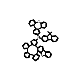 CC1(C)c2ccccc2-c2ccc(N(c3ccc4c(c3)-c3ccccc3Oc3ccccc3-4)c3ccc4c5ccccc5c5ccccc5c5ccccc5c5c(ccc6c7ccccc7sc65)c4c3)cc21